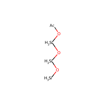 CC(=O)O[SiH2]O[SiH2]O[SiH3]